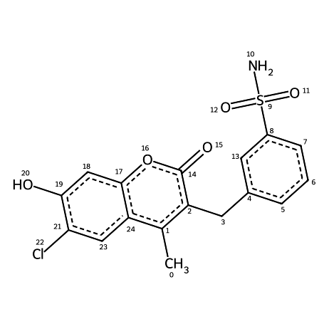 Cc1c(Cc2cccc(S(N)(=O)=O)c2)c(=O)oc2cc(O)c(Cl)cc12